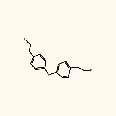 FCCc1ccc(Oc2ccc(CCF)cc2)cc1